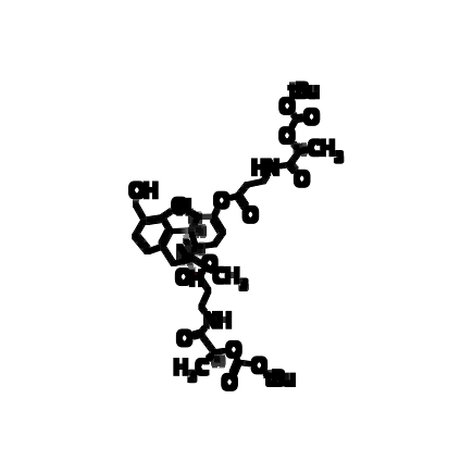 C[C@H](OC(=O)OC(C)(C)C)C(=O)NCCC(=O)OC1=CC[C@@]2(OC(=O)CCNC(=O)[C@H](C)OC(=O)OC(C)(C)C)[C@H]3Cc4ccc(CO)c5c4[C@@]2(CCN3C)[C@H]1O5